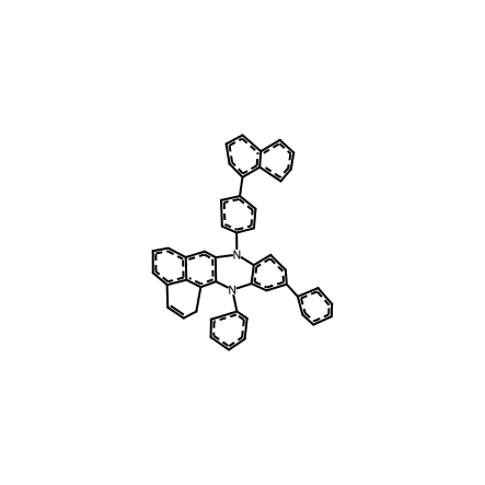 C1=Cc2cccc3cc4c(c(c23)C1)N(c1ccccc1)c1cc(-c2ccccc2)ccc1N4c1ccc(-c2cccc3ccccc23)cc1